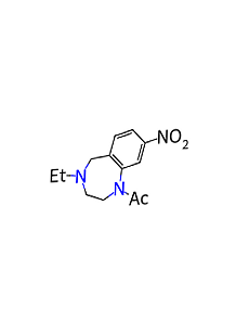 CCN1CCN(C(C)=O)c2cc([N+](=O)[O-])ccc2C1